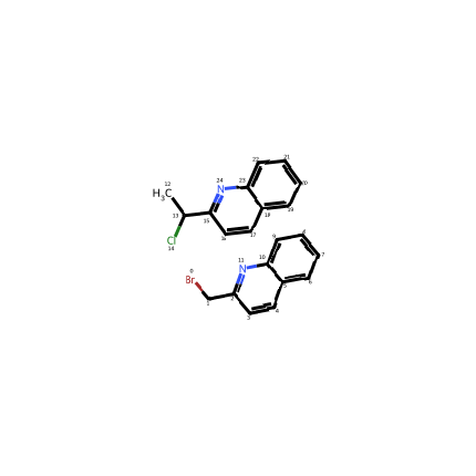 BrCc1ccc2ccccc2n1.CC(Cl)c1ccc2ccccc2n1